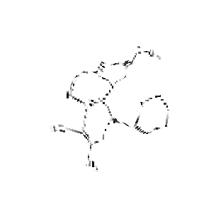 CON1C=C2C=NC3=C(N2C1)N(C1CCCCC1)CC(C)=C3C